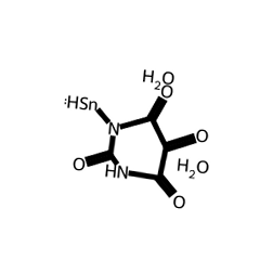 O.O.O=C1NC(=O)[N]([SnH])C(=O)C1=O